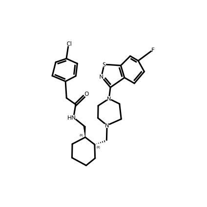 O=C(Cc1ccc(Cl)cc1)NC[C@@H]1CCCC[C@H]1CN1CCN(c2nsc3cc(F)ccc23)CC1